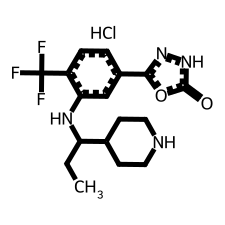 CCC(Nc1cc(-c2n[nH]c(=O)o2)ccc1C(F)(F)F)C1CCNCC1.Cl